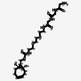 NCC(=O)NCC(=O)NCC(=O)NCCOCCOCCNC(=O)OC[C@@H]1[C@@H]2CCC#CCC[C@@H]21